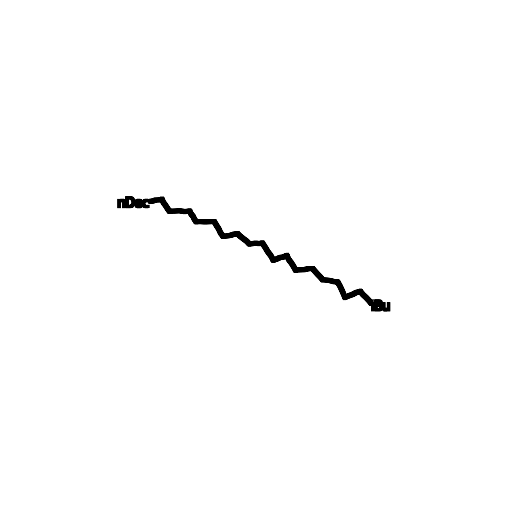 CCCCCCCCCCCCCCCCCCCCCCCCCCCC(C)CC